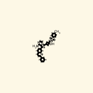 Cc1ccc(S(=O)(=O)OCC2(O)CC(c3nc(-c4ccc5ccc(-c6ccccc6)nc5c4)c4c(N)nccn34)C2)cc1